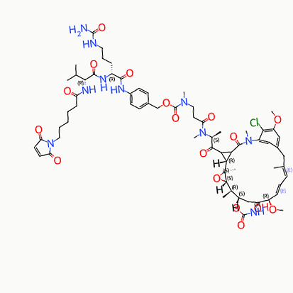 COc1cc2cc(c1Cl)N(C)C(=O)C1C(C(=O)[C@H](C)N(C)C(=O)CCN(C)C(=O)OCc3ccc(NC(=O)[C@@H](CCCNC(N)=O)NC(=O)[C@H](NC(=O)CCCCCN4C(=O)C=CC4=O)C(C)C)cc3)[C@H]1[C@]1(C)O[C@H]1[C@H](C)[C@@H]1C[C@@](O)(NC(=O)O1)[C@H](OC)/C=C/C=C(\C)C2